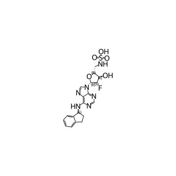 O=S(=O)(O)NC[C@H]1O[C@@H](n2cnc3c(N[C@H]4CCc5ccccc54)ncnc32)[C@@H](F)[C@@H]1O